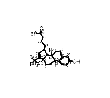 C[C@]12CC[C@@H]3c4ccc(O)cc4CC[C@H]3[C@@H]1C(CCCC(=O)Br)C=C2C(F)(F)F